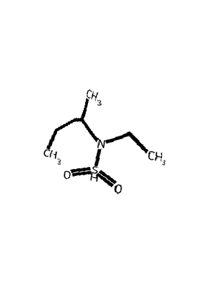 CCC(C)N(CC)[SH](=O)=O